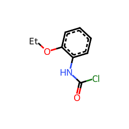 CCOc1ccccc1NC(=O)Cl